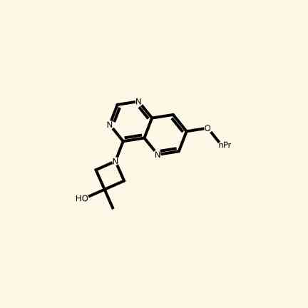 CCCOc1cnc2c(N3CC(C)(O)C3)ncnc2c1